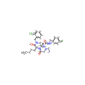 CCCC[C@H]1C(=O)N(Cc2ccccc2Cl)C[C@H]2N1C(=O)CN(CI)N2C(=O)NCc1ccc(F)cc1